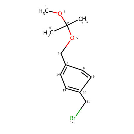 COC(C)(C)OCc1ccc(CBr)cc1